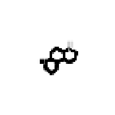 C1CNC2CCC3NCCCC3C2C1